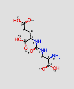 N[C@H](CNC(=O)N[C@@H](CCC(=O)O)C(=O)O)C(=O)O